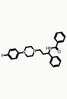 O=C(NC(CCN1CCN(c2ccc(F)cc2)CC1)c1ccccc1)c1ccccc1